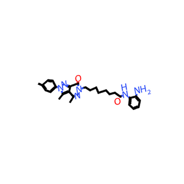 Cc1ccc(-n2nc3c(=O)n(CCCCCCCC(=O)Nc4ccccc4N)nc(C)c3c2C)cc1